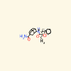 CC(C)(Oc1ccccc1C(F)(F)F)C(=O)NC1C2CC3CC1CC(C(N)=O)(C3)C2